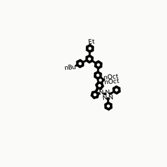 CCCCCCCCC1(CCCCCCCC)c2cc(-c3cccc(-c4cc(-c5ccc(CC)cc5)cc(-c5ccc(CCCC)cc5)c4)c3)ccc2-c2cc3c4ccccc4n(-c4nc(-c5ccccc5)nc(-c5ccccc5)n4)c3cc21